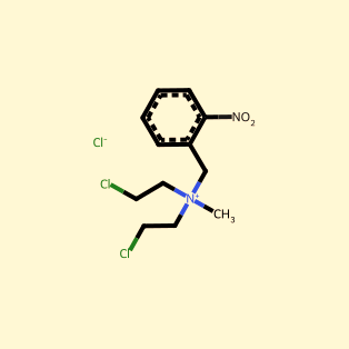 C[N+](CCCl)(CCCl)Cc1ccccc1[N+](=O)[O-].[Cl-]